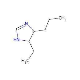 CCCC1N=CNC1CC